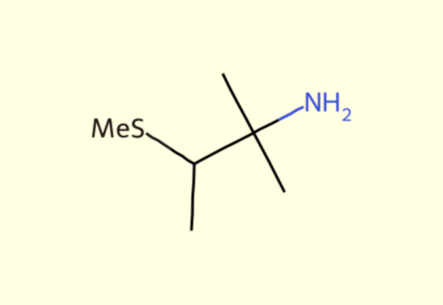 CSC(C)C(C)(C)N